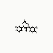 Cc1ccc(C(CC2CC2)NCC2=CCCC=C2)cc1F